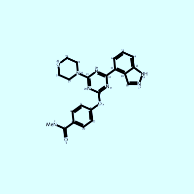 CNC(=O)c1ccc(Oc2nc(-c3cccc4[nH]ncc34)nc(N3CCOCC3)n2)cc1